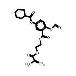 C=C(C)C(=O)OCCOC(=O)c1cc(OC(=O)C2CCCCC2)ccc1OC=O